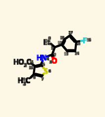 CCC(C(=O)Nc1scc(C)c1C(=O)O)c1ccc(F)cc1